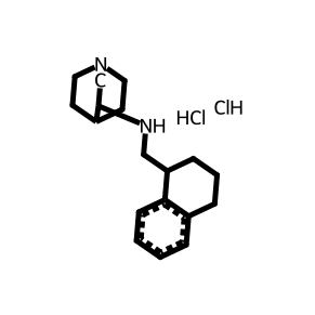 Cl.Cl.c1ccc2c(c1)CCCC2CNC1CN2CCC1CC2